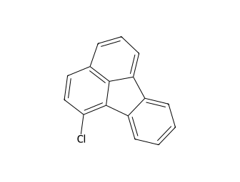 Clc1ccc2cccc3c2c1-c1ccccc1-3